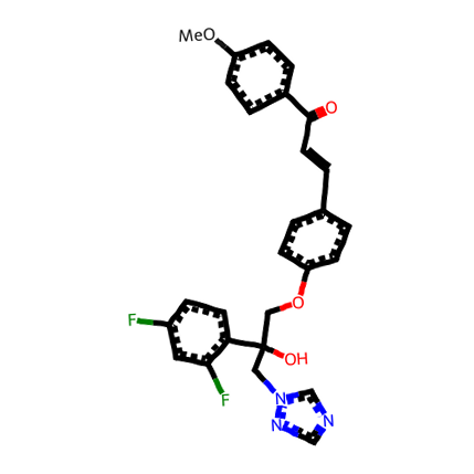 COc1ccc(C(=O)C=Cc2ccc(OCC(O)(Cn3cncn3)c3ccc(F)cc3F)cc2)cc1